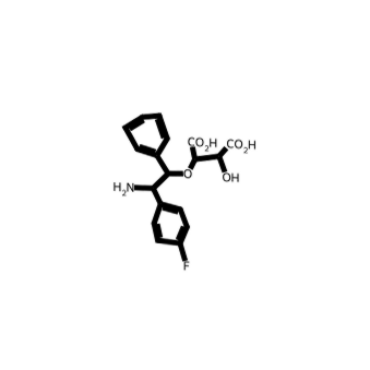 NC(c1ccc(F)cc1)C(OC(C(=O)O)C(O)C(=O)O)c1ccccc1